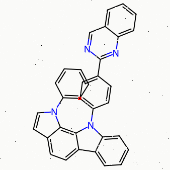 c1ccc(-n2ccc3ccc4c5ccccc5n(-c5ccc(-c6ncc7ccccc7n6)cc5)c4c32)cc1